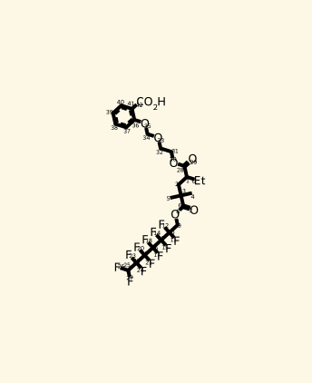 CCC(CC(C)(C)C(=O)OCC(F)(F)C(F)(F)C(F)(F)C(F)(F)C(F)(F)C(F)F)C(=O)OCCOCOc1ccccc1C(=O)O